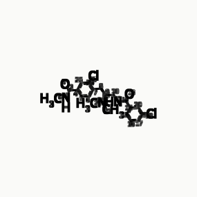 CNC(=O)c1ccc(C[C@@H](CNC(=O)c2cccc(Cl)c2)N(C)C)c(Cl)c1